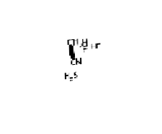 CC#N.F.F.S